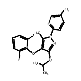 Cc1ccc(-n2nc(OC(C)C)c(Oc3c(F)cccc3F)c2C)nc1